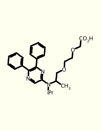 CC(C)N(c1cnc(-c2ccccc2)c(-c2ccccc2)n1)C(C)COCCOCC(=O)O